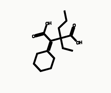 CCCC(CC)(C(=O)O)C(C(=O)O)=C1CCCCC1